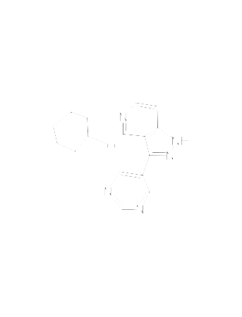 c1ncc(-c2n[nH]c3ccnc(OC4CCCCC4)c23)cn1